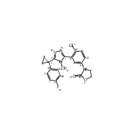 Cn1c(-c2cc(N3CCOC3=O)ccc2Cl)nnc1C1(c2ccc(F)cc2)CC1